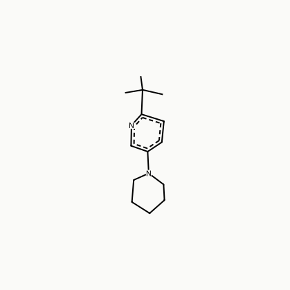 CC(C)(C)c1ccc(N2CCCCC2)cn1